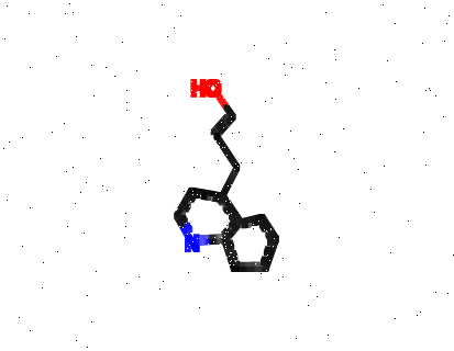 O/C=C/Cc1ccnc2ccccc12